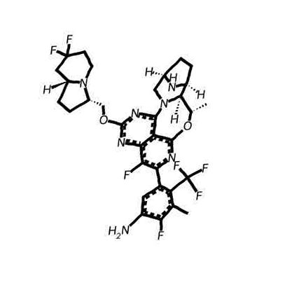 Cc1c(F)c(N)cc(-c2nc3c4c(nc(OC[C@@H]5CC[C@@H]6CC(F)(F)CCN65)nc4c2F)N2C[C@H]4CC[C@H](N4)[C@H]2[C@H](C)O3)c1C(F)(F)F